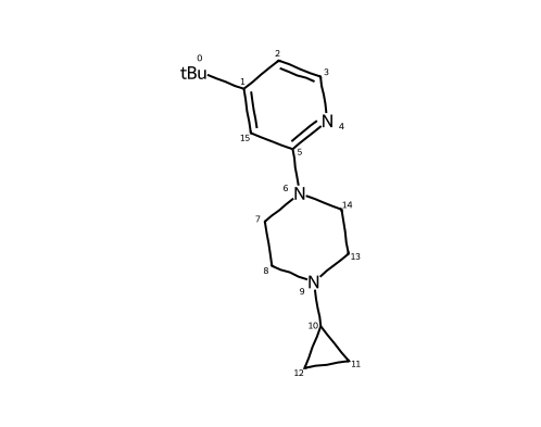 CC(C)(C)c1ccnc(N2CCN(C3CC3)CC2)c1